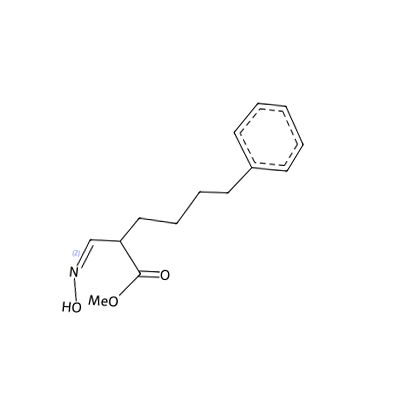 COC(=O)C(/C=N\O)CCCCc1ccccc1